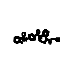 Cc1ccccc1C(=O)Nc1ccc(C(=O)N2CCCC(N(C)CC#N)c3ccccc32)cc1